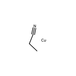 CCC#N.[Cu]